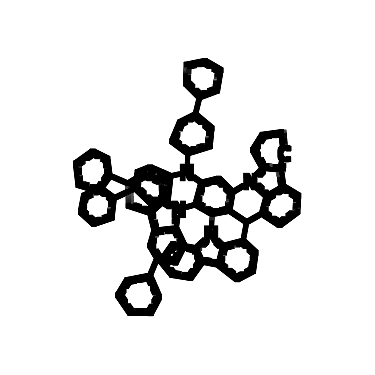 c1ccc(-c2ccc(N(c3ccc(-c4ccccc4)cc3)c3cc4c5c(c3-n3c6ccc(-c7ccccc7)cc6c6cc(-c7ccccc7)ccc63)-n3c6ccccc6c6cccc(c63)C5c3cccc5c6ccccc6n-4c35)cc2)cc1